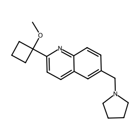 COC1(c2ccc3cc(CN4CCCC4)ccc3n2)CCC1